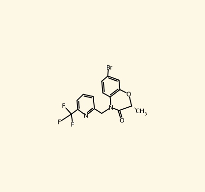 C[C@H]1Oc2cc(Br)ccc2N(Cc2cccc(C(F)(F)F)n2)C1=O